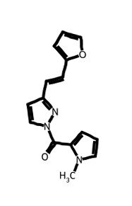 Cn1cccc1C(=O)n1ccc(C=Cc2ccco2)n1